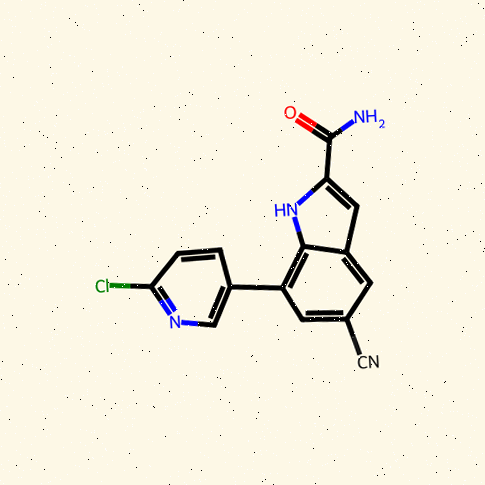 N#Cc1cc(-c2ccc(Cl)nc2)c2[nH]c(C(N)=O)cc2c1